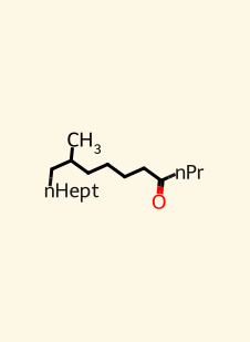 CCCCCCCCC(C)CCCCC(=O)CCC